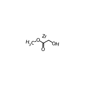 COC(=O)CO.[Zr]